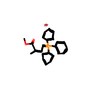 Br.COC(=O)/C(C)=C\C=P(c1ccccc1)(c1ccccc1)c1ccccc1